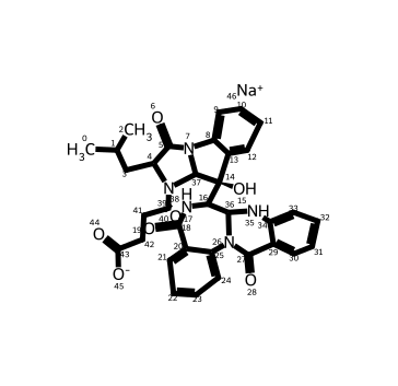 CC(C)CC1C(=O)N2c3ccccc3[C@](O)(C3NC(=O)c4ccccc4N4C(=O)c5ccccc5NC34)C2N1C(=O)CCC(=O)[O-].[Na+]